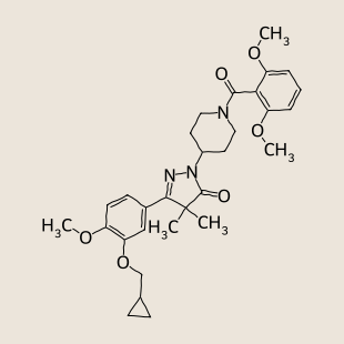 COc1ccc(C2=NN(C3CCN(C(=O)c4c(OC)cccc4OC)CC3)C(=O)C2(C)C)cc1OCC1CC1